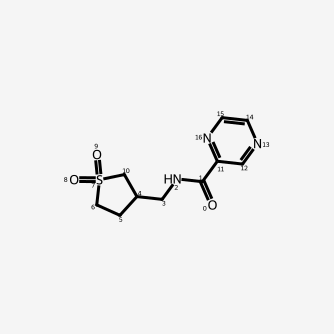 O=C(NCC1CCS(=O)(=O)C1)c1cnccn1